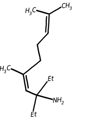 CCC(N)(/C=C(/C)CCC=C(C)C)CC